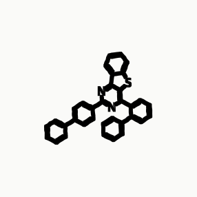 c1ccc(-c2ccc(-c3nc(-c4ccccc4-c4ccccc4)c4sc5ccccc5c4n3)cc2)cc1